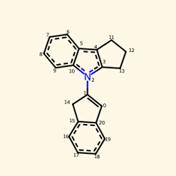 C1=C(n2c3c(c4ccccc42)CCC3)Cc2ccccc21